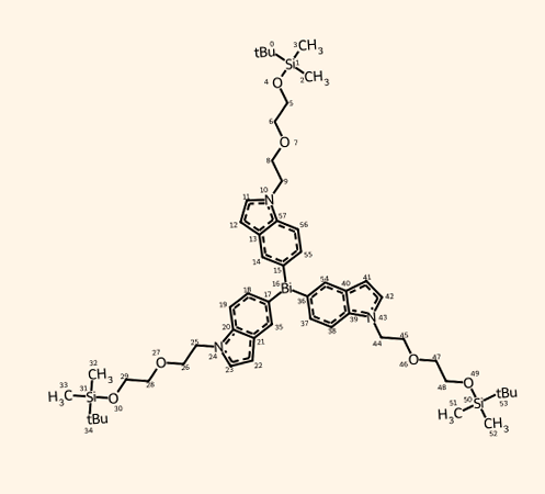 CC(C)(C)[Si](C)(C)OCCOCCn1ccc2c[c]([Bi]([c]3ccc4c(ccn4CCOCCO[Si](C)(C)C(C)(C)C)c3)[c]3ccc4c(ccn4CCOCCO[Si](C)(C)C(C)(C)C)c3)ccc21